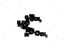 Cc1ccc(-c2cc(C(C)C)c3nc(C(=O)N4CCN(C(=O)c5nnc(C)o5)CC4(C)C)cn3n2)cc1